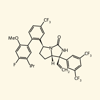 C=C[C@]1(c2cc(C(F)(F)F)cc(C(F)(F)F)c2)NC(=O)N2[C@H]1CC[C@H]2c1cc(C(F)(F)F)ccc1-c1cc(C(C)C)c(F)cc1OC